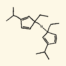 CC[C]1([Ni][C]2(CC)C=CC(C(C)C)=C2)C=CC(C(C)C)=C1